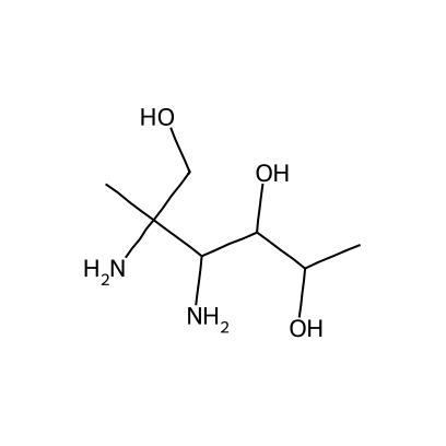 CC(O)C(O)C(N)C(C)(N)CO